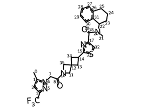 Cc1cc(C(F)(F)F)nn1CC(=O)N1CC2(CC(c3nc(C(=O)N(C)C4CCCc5ccccc54)cs3)C2)C1